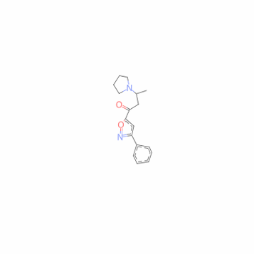 CC(CC(=O)c1cc(-c2ccccc2)no1)N1CCCC1